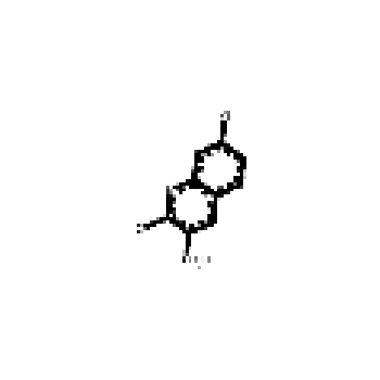 O=C(O)c1cc2ccc(Cl)cc2nc1Cl